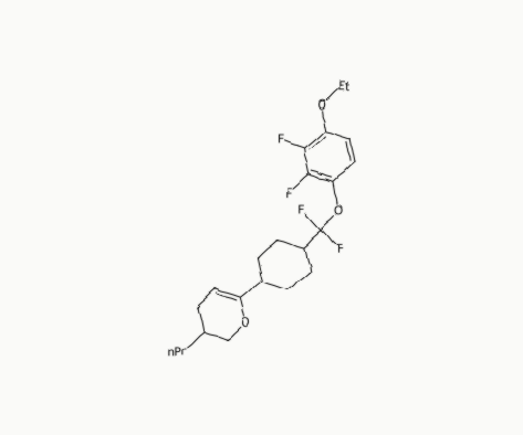 CCCC1CC=C(C2CCC(C(F)(F)Oc3ccc(OCC)c(F)c3F)CC2)OC1